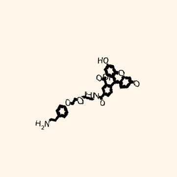 NCCc1ccc(OCCOCCNC(=O)c2ccc(-c3c4ccc(=O)cc-4oc4cc(O)ccc34)c(C(=O)O)c2)cc1